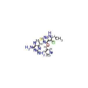 CCc1[nH]c2nc(Sc3cnc4c(N)nc(N)nc4c3)nc(OCc3cccnc3)c2c1Cl